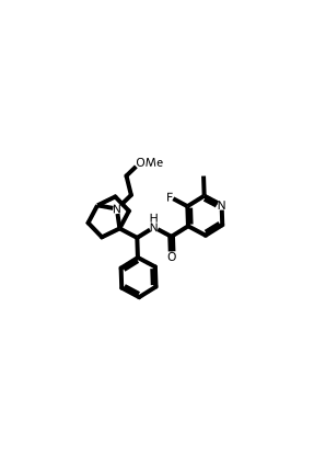 COCCN1C2CCC1(C(NC(=O)c1ccnc(C)c1F)c1ccccc1)CC2